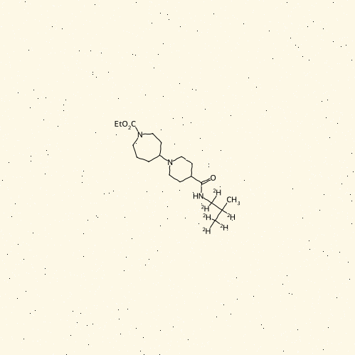 [2H]C([2H])([2H])C([2H])(C)C([2H])([2H])NC(=O)C1CCN(C2CCCN(C(=O)OCC)CC2)CC1